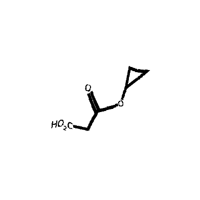 O=C(O)CC(=O)OC1CC1